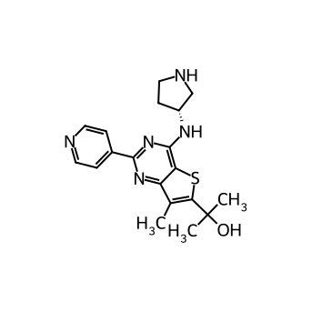 Cc1c(C(C)(C)O)sc2c(N[C@@H]3CCNC3)nc(-c3ccncc3)nc12